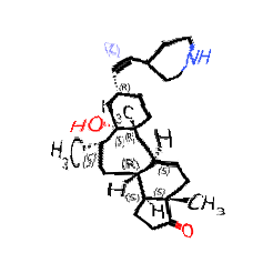 C[C@H]1C[C@H]2[C@@H]3CCC(=O)[C@@]3(C)CC[C@@H]2[C@@]2(C)CC[C@@H](/C=C\C3CCNCC3)C[C@]12O